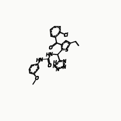 CCc1cc(C(=O)c2ccccc2Cl)c(C(NC(=O)Nc2cccc(OC)c2)c2nnn[nH]2)s1